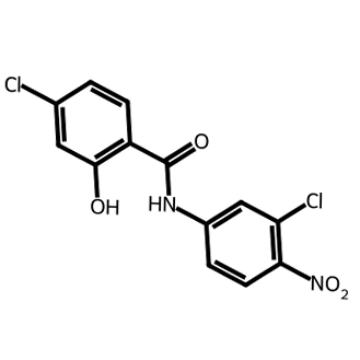 O=C(Nc1ccc([N+](=O)[O-])c(Cl)c1)c1ccc(Cl)cc1O